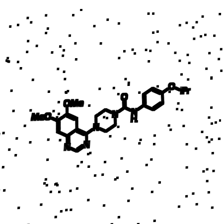 COc1cc2ncnc(N3CCN(C(=O)Nc4ccc(OC(C)C)cc4)CC3)c2cc1OC